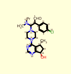 CC(C)N(C)C(C(C=O)c1ccc(Cl)cc1)N1CCN(c2ncnc3c2[C@H](C)C[C@H]3O)CC1